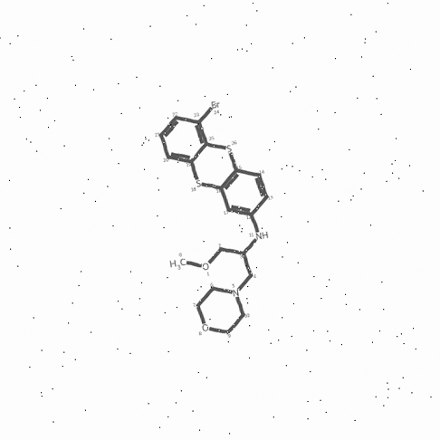 COCC(CN1CCOCC1)Nc1ccc2c(c1)Sc1cccc(Br)c1S2